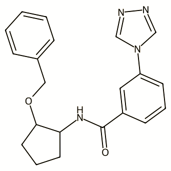 O=C(NC1CCCC1OCc1ccccc1)c1cccc(-n2cnnc2)c1